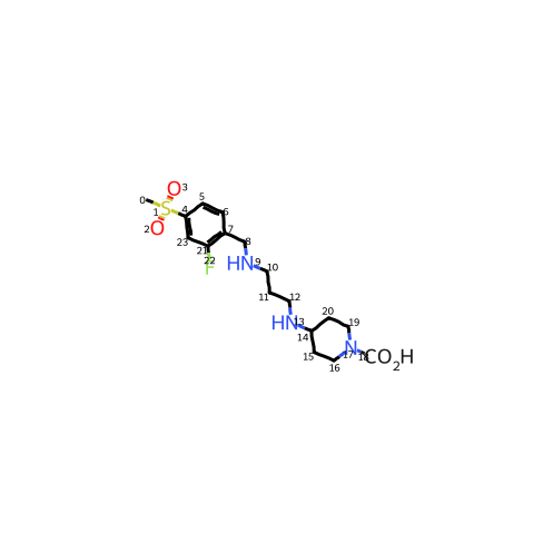 CS(=O)(=O)c1ccc(CNCCCNC2CCN(C(=O)O)CC2)c(F)c1